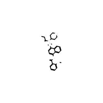 CCC(=O)N(C1CCNCC1)S(=O)(=O)c1ccc(NC(=O)c2ccccc2OC)c2ccccc12